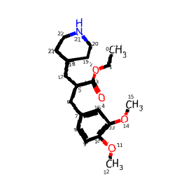 CCOC(=O)C(Cc1ccc(OC)c(OC)c1)CC1CCNCC1